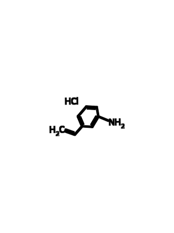 C=Cc1cccc(N)c1.Cl